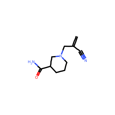 C=C(C#N)CN1CCCC(C(N)=O)C1